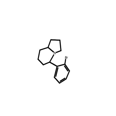 Brc1ccccc1C1CCCC2CCCN21